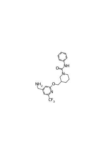 NCc1cc(OCC2CCCN(C(=O)Nc3ccccc3)C2)nc(C(F)(F)F)c1